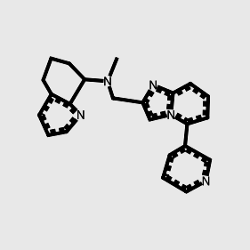 CN(Cc1cn2c(-c3cccnc3)cccc2n1)C1CCCc2cccnc21